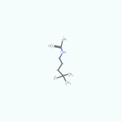 C=C(CCC)NCCCC(C)(C)CC